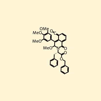 COc1cc(C2=c3c(cccc3=C=O)C(=O)N([C@@H](Cc3ccccc3)C(=O)OCc3ccccc3)C2OC)cc(OC)c1OC